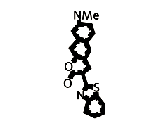 CNc1ccc2cc3cc(-c4nc5ccccc5s4)c(=O)oc3cc2c1